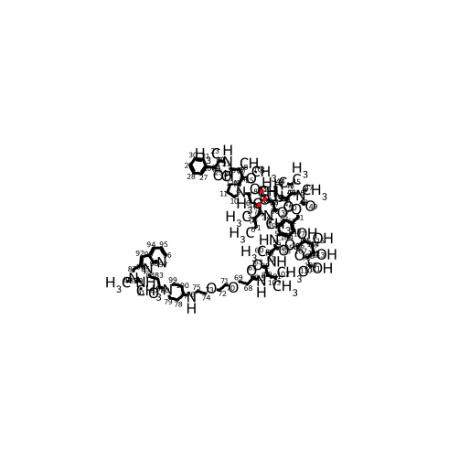 CC[C@H](C)[C@@H]([C@@H](CC(=O)N1CCC[C@H]1[C@H](OC)[C@@H](C)C(=O)N[C@H](C)[C@@H](O)c1ccccc1)OC)N(C)C(=O)[C@@H](NC(=O)[C@H](C(C)C)N(C)C(=O)OCc1ccc(NC(=O)[C@H](C)NC(=O)[C@@H](NC(=O)CCOCCOCCNC2CCN(C(=O)CCn3c(CN(C)NC)cc4cccnc43)CC2)C(C)C)c(O[C@@H]2O[C@H](C(=O)O)[C@@H](O)[C@H](O)[C@H]2O)c1)C(C)C